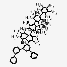 Bc1c(B)c(B)c(-c2c(B)c(B)c3c(c2B)C(C(B)(B)B)(C(B)(B)B)c2c(B)c(-c4c(B)c(B)c(-c5cc(-c6cccc(-c7ccccc7)c6)nc(-c6ccccc6)n5)c5c(B)c(B)c(B)c(B)c45)c(B)c(B)c2-3)c(B)c1B